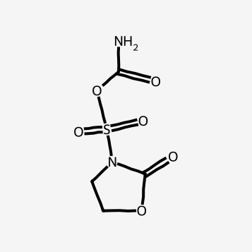 NC(=O)OS(=O)(=O)N1CCOC1=O